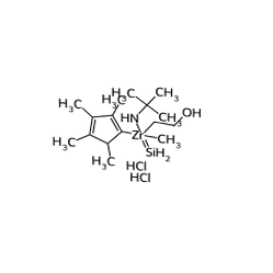 CC1=C(C)C(C)[C]([Zr]([CH3])(=[SiH2])([CH2]CO)[NH]C(C)(C)C)=C1C.Cl.Cl